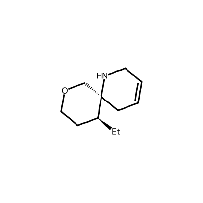 CC[C@H]1CCOC[C@]12CC=CCN2